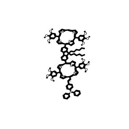 CCCCCCC1(CCCCCC)c2cc(-c3c4nc(c(-c5cc(OC)c(OC)c(OC)c5)c5ccc(cc6nc(c(-c7cc(OC)c(OC)c(OC)c7)c7ccc3[nH]7)C=C6)[nH]5)C=C4)ccc2-c2ccc(-c3c4nc(c(-c5cc(OC)c(OC)c(OC)c5)c5ccc([nH]5)c(/C=C/c5ccc(N(c6ccccc6)c6ccccc6)cc5)c5nc(c(-c6cc(OC)c(OC)c(OC)c6)c6ccc3[nH]6)C=C5)C=C4)cc21